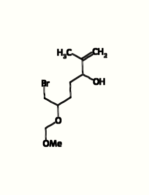 C=C(C)C(O)CCC(CBr)OCOC